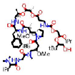 CC[C@H](C)C([C@@H](CC(=O)N1CCC[C@H]1[C@H](OC)[C@@H](C)C(=O)N[C@@H](Cc1ccccc1)C(=O)NC[C@@H](C)OC(=O)[C@H](C)OC(=O)CCNC(=O)OCC(OC(C)C)OC(CO)C(C)(C)C)OC)N(C)C(=O)CNC(=O)C(C(C)C)N(C)C